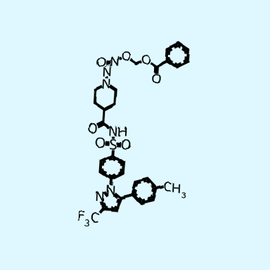 Cc1ccc(-c2cc(C(F)(F)F)nn2-c2ccc(S(=O)(=O)NC(=O)C3CCN(n4on4OCOC(=O)c4ccccc4)CC3)cc2)cc1